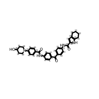 O=C(Nc1ccc(C(=O)c2ccc(NC(=O)c3cc4c([nH]3)CCCC4)cc2)cc1)c1ccc(N2CCC(O)CC2)cc1